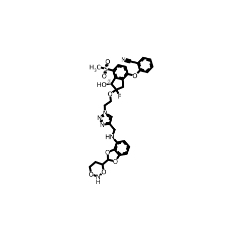 CS(=O)(=O)c1ccc(Oc2ccccc2C#N)c2c1[C@H](O)C(F)(OCCn1cc(CNc3cccc4c3OC(C3CCONO3)O4)nn1)C2